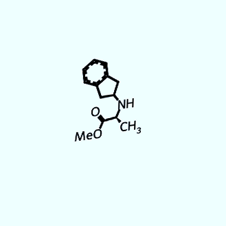 COC(=O)[C@H](C)NC1Cc2ccccc2C1